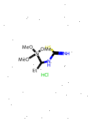 CCC(NC(=N)S)[Si](OC)(OC)OC.Cl